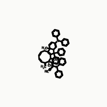 C#C/C(=C\[C@@]1(C)C(=C)/C=C\C=C/CC2=C(C1C)C(c1ccccc1)(c1ccccc1)C1C=C(N(c3ccccc3)c3ccccc3)C=CC21C)N(c1ccccc1)c1ccccc1